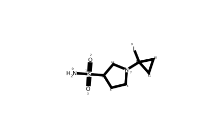 NS(=O)(=O)C1CCN(C2(I)CC2)C1